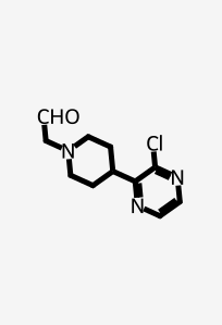 O=CCN1CCC(c2nccnc2Cl)CC1